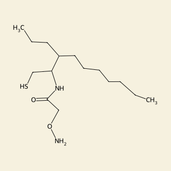 CCCCCCCC(CCC)C(CS)NC(=O)CON